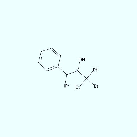 CCC(CC)(CC)N(O)C(c1ccccc1)C(C)C